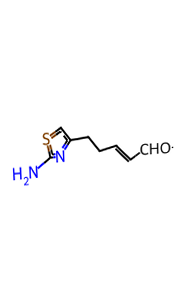 Nc1nc(CCC=C[C]=O)cs1